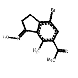 COC(=O)c1cc(Br)c2c(c1C)C(=NO)CC2